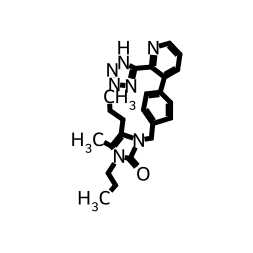 CCCc1c(C)n(CCC)c(=O)n1Cc1ccc(-c2cccnc2-c2nnn[nH]2)cc1